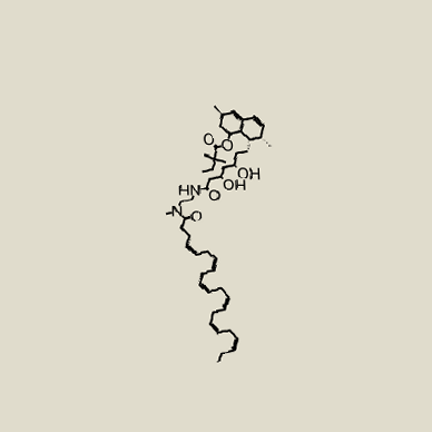 CC/C=C\C/C=C\C/C=C\C/C=C\C/C=C\C/C=C\CCC(=O)N(C)CCNC(=O)C[C@H](O)C[C@@H](O)CC[C@@H]1C2C(=C[C@H](C)CC2OC(=O)C(C)(C)CC)C=C[C@@H]1C